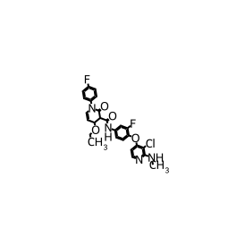 CCOC1C=CN(c2ccc(F)cc2)C(=O)C1C(=O)Nc1ccc(Oc2ccnc(NC)c2Cl)c(F)c1